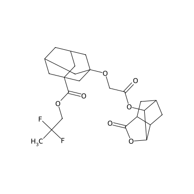 CC(F)(F)COC(=O)C12CC3CC(CC(OCC(=O)OC4C5CC6C(=O)OC4C6C5)(C3)C1)C2